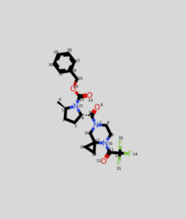 C[C@@H]1CC[C@@H](C(=O)N2CCN(C(=O)C(F)(F)F)C3(CC3)C2)N1C(=O)OCc1ccccc1